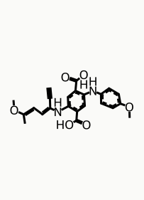 C#C/C(=C\C=C(/C)OC)Nc1cc(C(=O)O)c(Nc2ccc(OC)cc2)cc1C(=O)O